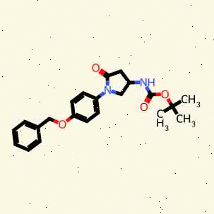 CC(C)(C)OC(=O)NC1CC(=O)N(c2ccc(OCc3ccccc3)cc2)C1